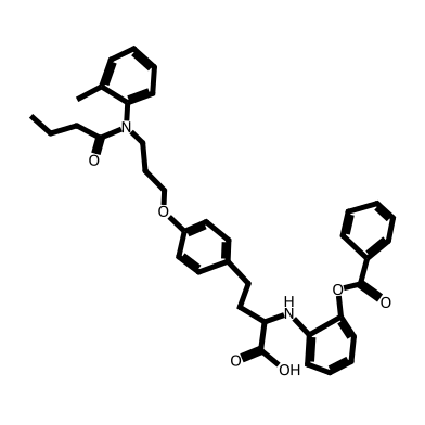 CCCC(=O)N(CCCOc1ccc(CCC(Nc2ccccc2OC(=O)c2ccccc2)C(=O)O)cc1)c1ccccc1C